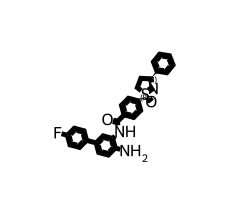 Nc1ccc(-c2ccc(F)cc2)cc1NC(=O)c1ccc([S@@]2(=O)=N[C@@H](c3ccccc3)CC2)cc1